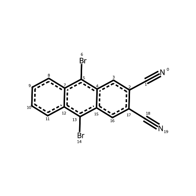 N#Cc1cc2c(Br)c3ccccc3c(Br)c2cc1C#N